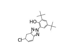 CC(C)(C)c1cc(-n2nc3c(n2)CC(Cl)C=C3)c(O)c(C(C)(C)C)c1